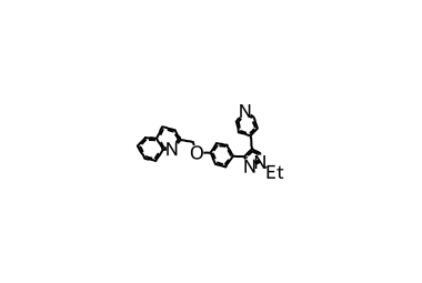 CCn1cc(-c2ccncc2)c(-c2ccc(OCc3ccc4ccccc4n3)cc2)n1